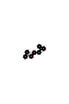 c1cc(-c2ccc3oc4c(-n5c6ccccc6c6ccccc65)cccc4c3c2)cc(C2c3ccccc3-c3ccccc32)c1